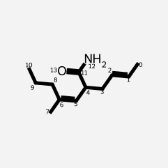 C/C=C/CC(/C=C(/C)CCC)C(N)=O